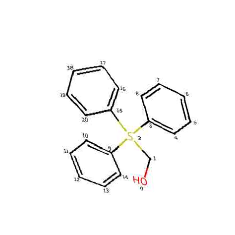 OCS(c1ccccc1)(c1ccccc1)c1ccccc1